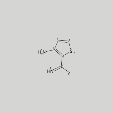 CC(=N)c1sccc1N